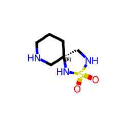 O=S1(=O)NC[C@]2(CCCNC2)N1